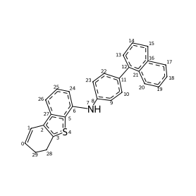 C1=Cc2c(sc3c(Nc4ccc(-c5cccc6ccccc56)cc4)cccc23)CC1